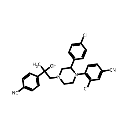 CC(O)(CN1CCN(c2ccc(C#N)cc2Cl)C(c2ccc(Cl)cc2)C1)c1ccc(C#N)cc1